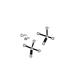 O=P([O-])([O-])[O-].O=P([O-])([O-])[O-].[Al+3].[Cr+3]